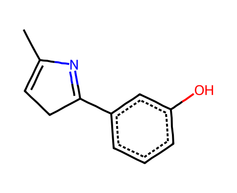 CC1=CCC(c2cccc(O)c2)=N1